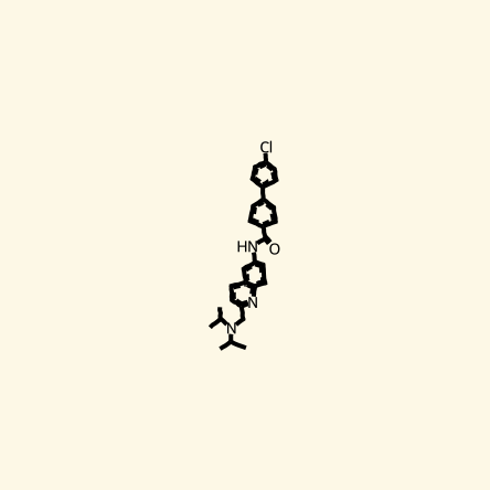 CC(C)N(Cc1ccc2cc(NC(=O)c3ccc(-c4ccc(Cl)cc4)cc3)ccc2n1)C(C)C